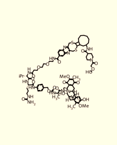 COC1=C(C)C(=O)C2=C(C1=O)[C@H](CNC(=O)[C@H](C)NC(=O)OCc1ccc(NC(=O)[C@H](CCCNC(N)=O)NC(=O)[C@@H](NC(=O)CCOCCOCCNC(=O)c3ccc4nc5c(nc4c3)CSC3C4CC(NC(=O)C6CCN(C(=O)COO)CC6)CCCCCCC4C3SC5)C(C)C)cc1)N1[C@@H](O)[C@@H]3Cc4c(cc(O)c(OC)c4C)[C@@H]([C@@H]1C2)N3C